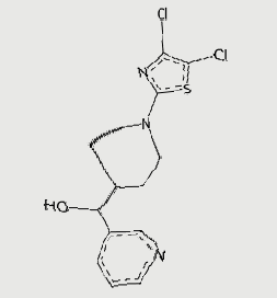 OC(c1cccnc1)C1CCN(c2nc(Cl)c(Cl)s2)CC1